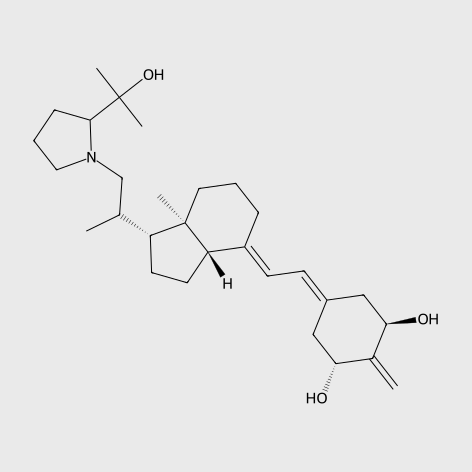 C=C1[C@H](O)CC(=CC=C2CCC[C@]3(C)[C@@H](C(C)CN4CCCC4C(C)(C)O)CC[C@@H]23)C[C@H]1O